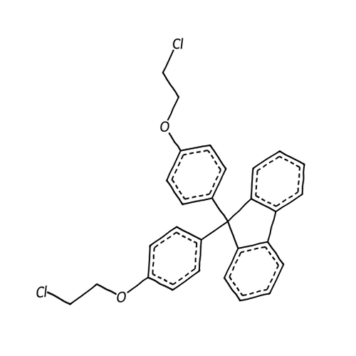 ClCCOc1ccc(C2(c3ccc(OCCCl)cc3)c3ccccc3-c3ccccc32)cc1